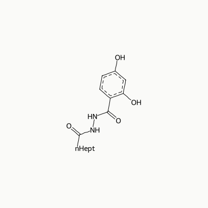 CCCCCCCC(=O)NNC(=O)c1ccc(O)cc1O